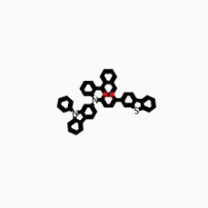 c1ccc(-n2c3ccccc3c3ccc(N(c4ccc(-c5ccc6c(c5)sc5ccccc56)cc4)c4ccccc4-c4cccc5ccccc45)cc32)cc1